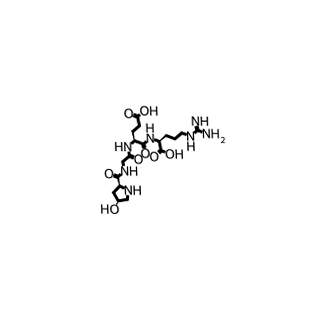 N=C(N)NCCC[C@H](NC(=O)[C@H](CCC(=O)O)NC(=O)CNC(=O)[C@@H]1C[C@@H](O)CN1)C(=O)O